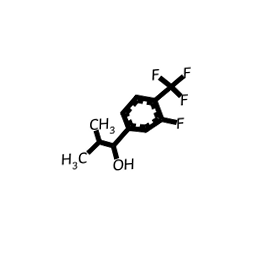 CC(C)C(O)c1ccc(C(F)(F)F)c(F)c1